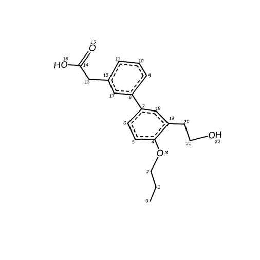 CCCOc1ccc(-c2cccc(CC(=O)O)c2)cc1CCO